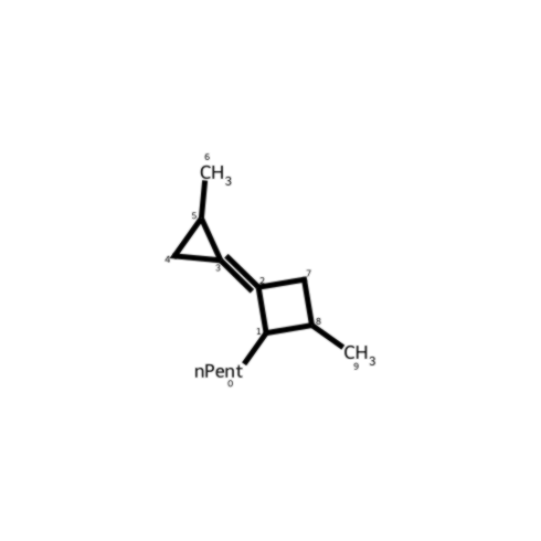 CCCCCC1C(=C2CC2C)CC1C